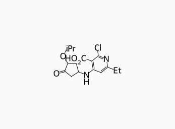 CCc1cc(NC2CC(=O)C(OC(C)C)C2)c(C(=O)O)c(Cl)n1